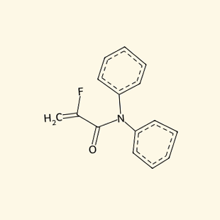 C=C(F)C(=O)N(c1ccccc1)c1ccccc1